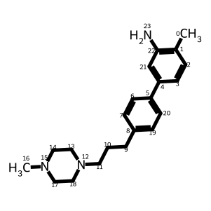 Cc1ccc(-c2ccc(CCCN3CCN(C)CC3)cc2)cc1N